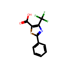 O=C(O)c1sc(-c2ccccc2)nc1C(F)(F)F